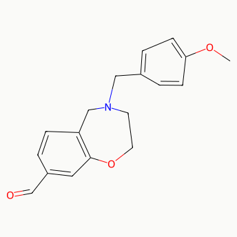 COc1ccc(CN2CCOc3cc(C=O)ccc3C2)cc1